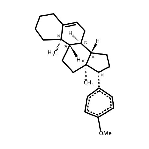 COc1ccc([C@H]2CC[C@H]3[C@@H]4CC=C5CCCC[C@]5(C)[C@H]4CC[C@]23C)cc1